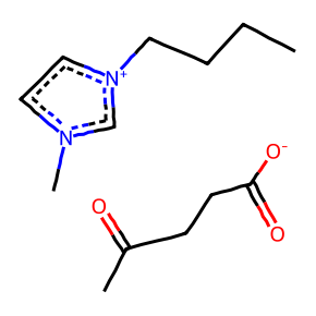 CC(=O)CCC(=O)[O-].CCCC[n+]1ccn(C)c1